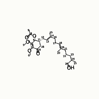 COC1=C(OC)[C@H](OC(C)=O)[C@H](C/C=C(\C)CC/C=C(\C)CCCC(C)CO)CC1=O